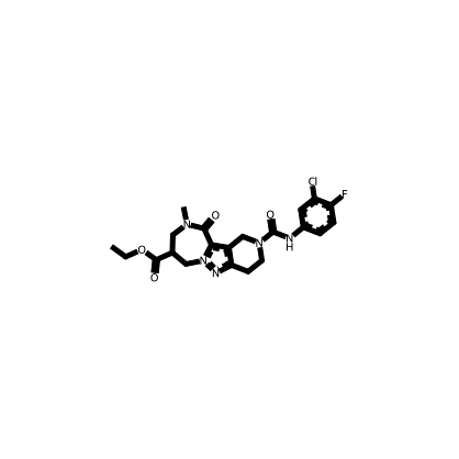 CCOC(=O)C1CN(C)C(=O)c2c3c(nn2C1)CCN(C(=O)Nc1ccc(F)c(Cl)c1)C3